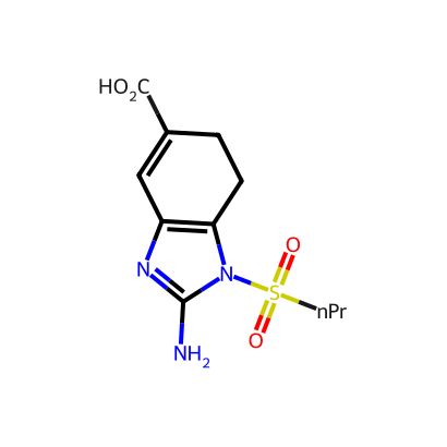 CCCS(=O)(=O)n1c(N)nc2c1CCC(C(=O)O)=C2